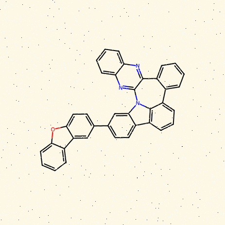 c1ccc2c(c1)-c1nc3ccccc3nc1-n1c3cc(-c4ccc5oc6ccccc6c5c4)ccc3c3cccc-2c31